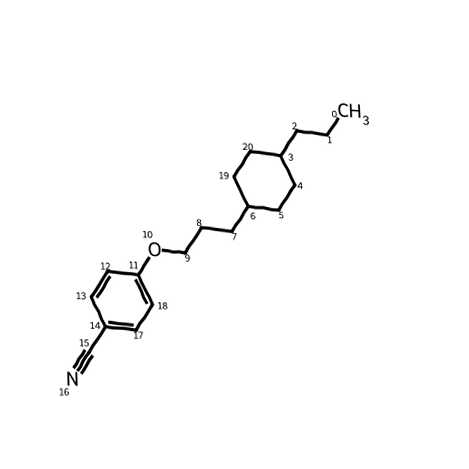 CCCC1CCC(CCCOc2ccc(C#N)cc2)CC1